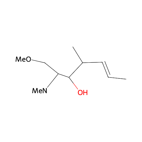 C/C=C/C(C)C(O)C(COC)NC